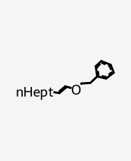 CCCCCCCC=COCCc1ccccc1